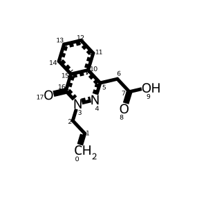 C=CCn1nc(CC(=O)O)c2ccccc2c1=O